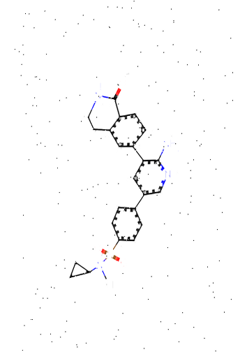 CN(C1CC1)S(=O)(=O)c1ccc(-c2cnc(N)c(-c3ccc4c(c3)CCNC4=O)c2)cc1